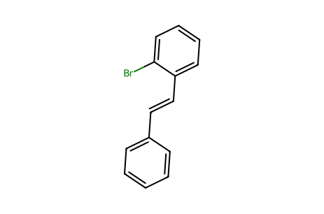 Brc1ccccc1/C=C/c1ccccc1